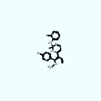 C=C/C(C1=CC=NC(C)(Nc2ccccc2F)N1)=C(\NN)c1ccc(F)cc1